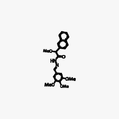 COc1cc(C=NNC(=O)C(OC)c2ccc3ccccc3c2)cc(OC)c1OC